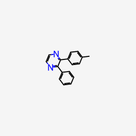 Cc1ccc(-c2nccnc2-c2ccccc2)cc1